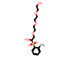 Cc1ccccc1S(=O)(=O)C(O)COCCOCCOCCO